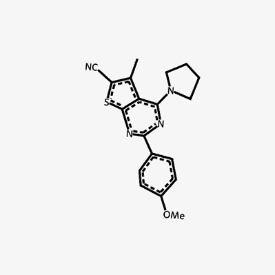 COc1ccc(-c2nc(N3CCCC3)c3c(C)c(C#N)sc3n2)cc1